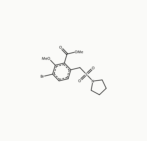 COC(=O)c1c(CS(=O)(=O)N2CCCC2)ccc(Br)c1OC